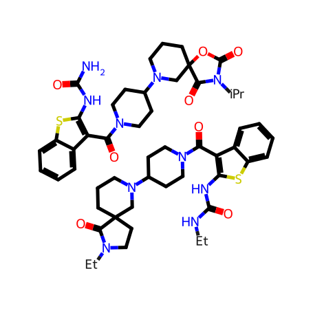 CC(C)N1C(=O)OC2(CCCN(C3CCN(C(=O)c4c(NC(N)=O)sc5ccccc45)CC3)C2)C1=O.CCNC(=O)Nc1sc2ccccc2c1C(=O)N1CCC(N2CCCC3(CCN(CC)C3=O)C2)CC1